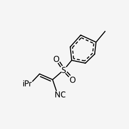 [C-]#[N+]C(=CC(C)C)S(=O)(=O)c1ccc(C)cc1